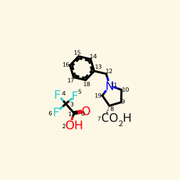 O=C(O)C(F)(F)F.O=C(O)[C@H]1CCN(Cc2ccccc2)C1